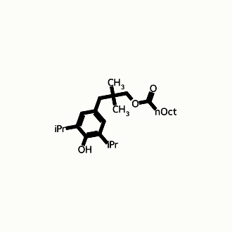 CCCCCCCCC(=O)OCC(C)(C)Cc1cc(C(C)C)c(O)c(C(C)C)c1